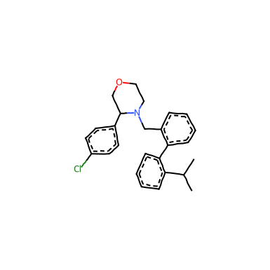 CC(C)c1ccccc1-c1ccccc1CN1CCOCC1c1ccc(Cl)cc1